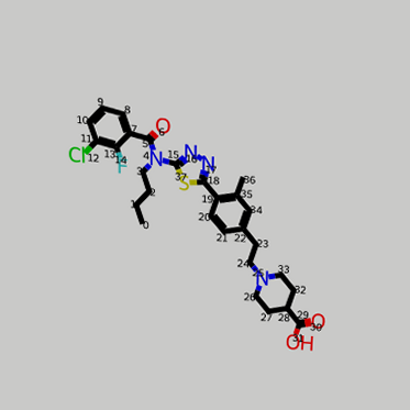 CCCCN(C(=O)c1cccc(Cl)c1F)c1nnc(-c2ccc(CCN3CCC(C(=O)O)CC3)cc2C)s1